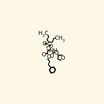 CCCC(CCC)S(=O)(=O)C[C@H](NC(=O)O[C@H]1CCOC1)C(=O)OCCCc1ccccc1